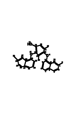 Cc1ccc2cccc(Oc3c(C)cc(O)c(Oc4cccc5ccc(C)nc45)c3C)c2n1